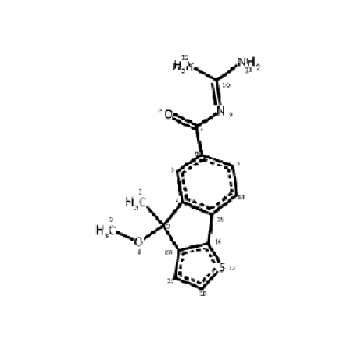 COC1(C)c2cc(C(=O)N=C(N)N)ccc2-c2sccc21